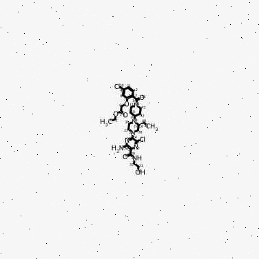 CCOC(=O)COc1cc(Cl)ccc1C(=O)N1CCC(N2CCN(c3nc(N)c(C(=O)NCCO)nc3Cl)C[C@@H]2CC)CC1